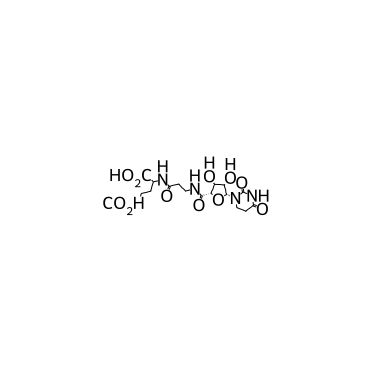 O=C(O)CCC(NC(=O)CCNC(=O)[C@H]1O[C@@H](N2CCC(=O)NC2=O)[C@H](O)[C@@H]1O)C(=O)O